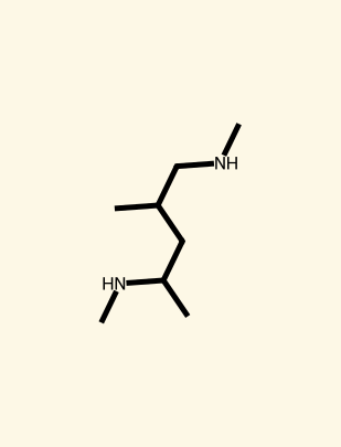 CNCC(C)CC(C)NC